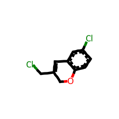 ClCC1=Cc2cc(Cl)ccc2OC1